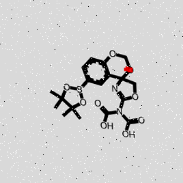 CC1(C)OB(c2ccc3c(c2)C2(COC(N(C(=O)O)C(=O)O)=N2)C2(COC2)CO3)OC1(C)C